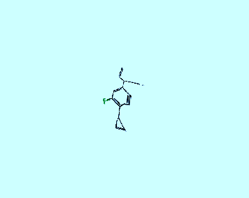 [CH2]C(C=C)c1ccc(C2CC2)c(F)c1